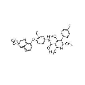 COc1cnc2c(Oc3ccc(NC(=O)c4c(C)nc(C)c(-c5ccc(F)cc5)c4O)cc3F)ccnc2c1